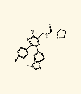 Cc1cnc2ccc(-c3nc(CNC(=O)[C@@H]4CCCO4)c(N)nc3-c3ccc(F)cc3)cn12